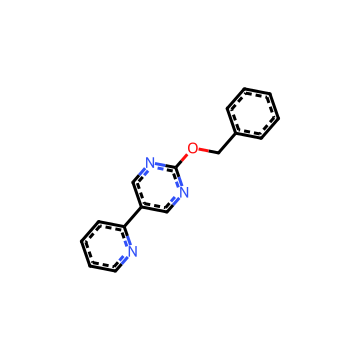 c1ccc(COc2ncc(-c3ccccn3)cn2)cc1